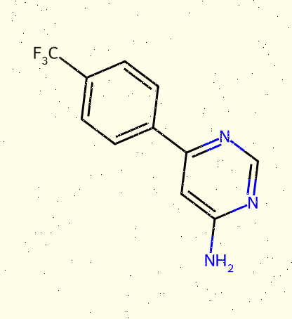 Nc1cc(-c2ccc(C(F)(F)F)cc2)ncn1